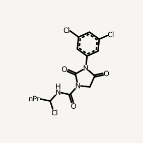 CCCC(Cl)NC(=O)N1CC(=O)N(c2cc(Cl)cc(Cl)c2)C1=O